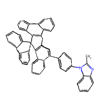 Cc1nc2ccccc2n1-c1ccc(-c2cc3c(c4ccccc24)C2(c4ccccc4-c4ccccc42)c2c-3c3ccccc3c3ccccc23)cc1